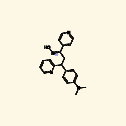 CN(C)c1ccc(C(C/C(=N/O)c2ccncc2)c2ccccn2)cc1